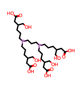 O=C(O)CC(CO)CCCP(CCCC(CO)CC(=O)O)CCCP(CCCC(CO)CC(=O)O)CCCC(CO)CC(=O)O